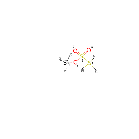 C[Si](C)(C)OS(=O)(=O)S(C)(C)C